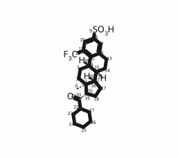 C[C@]12CC[C@@H]3c4c(cc(S(=O)(=O)O)cc4C(F)(F)F)CC[C@H]3[C@@H]1CC[C@@H]2C(=O)C1CCCCC1